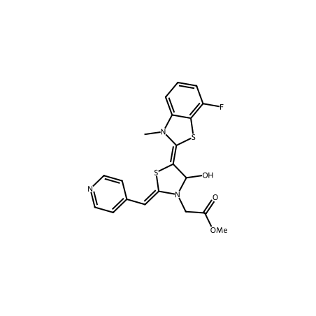 COC(=O)CN1/C(=C/c2ccncc2)S/C(=C2/Sc3c(F)cccc3N2C)C1O